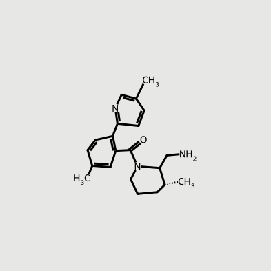 Cc1ccc(-c2ccc(C)cc2C(=O)N2CCC[C@@H](C)C2CN)nc1